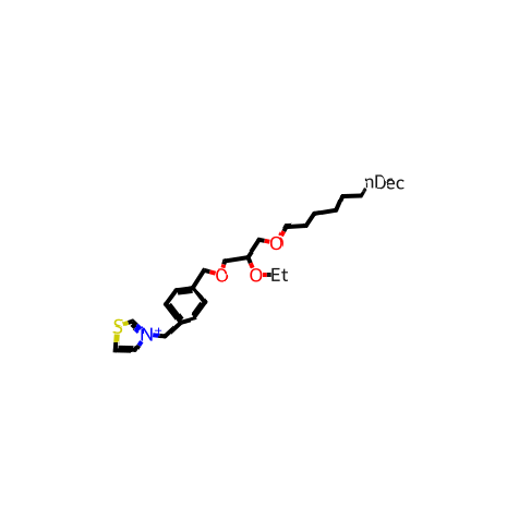 CCCCCCCCCCCCCCCCOCC(COCc1ccc(C[n+]2ccsc2)cc1)OCC